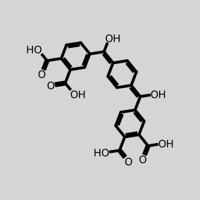 O=C(O)c1ccc(C(O)=c2ccc(=C(O)c3ccc(C(=O)O)c(C(=O)O)c3)cc2)cc1C(=O)O